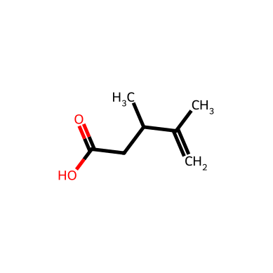 C=C(C)C(C)CC(=O)O